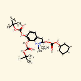 CCC(C)N[C@@](Cc1ccc(OC(=O)OC(C)(C)CC)c(OC(=O)OC(C)(C)CC)c1)(OC(=O)OC1CCCCC1)C(=O)O